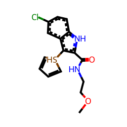 COCCNC(=O)c1[nH]c2ccc(Cl)cc2c1[SH]1C=CC=C1